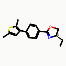 CC[C@@H]1COC(c2ccc(-c3cc(C)sc3C)cc2)=N1